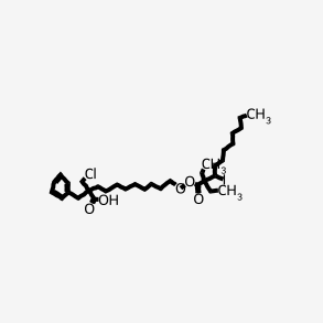 CCCCCCCCC(I)C(CC)(CC)C(=O)OOCCCCCCCCCC(CCl)(Cc1ccccc1)C(=O)O